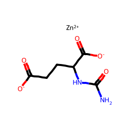 NC(=O)NC(CCC(=O)[O-])C(=O)[O-].[Zn+2]